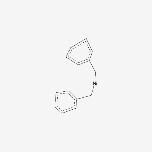 c1ccc([CH2][Ni][CH2]c2ccccc2)cc1